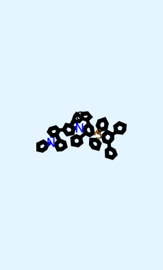 C1=CC23CC=Cc4c2n(c2ccc(-c5cccc6c5c5ccccc5n6-c5ccccc5)cc42)-c2c(cc(S(c4ccccc4)(c4ccccc4)c4cc(-c5ccccc5)cc(-c5ccccc5)c4)cc2-c2ccccc2)C3=C1